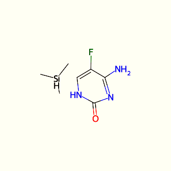 C[SiH](C)C.Nc1nc(=O)[nH]cc1F